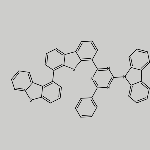 c1ccc(-c2nc(-c3cccc4c3sc3c(-c5cccc6sc7ccccc7c56)cccc34)nc(-n3c4ccccc4c4ccccc43)n2)cc1